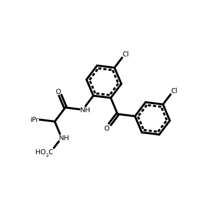 CC(C)C(NC(=O)O)C(=O)Nc1ccc(Cl)cc1C(=O)c1cccc(Cl)c1